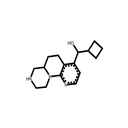 OC(c1ccnc2c1CCC1CNCCN21)C1CCC1